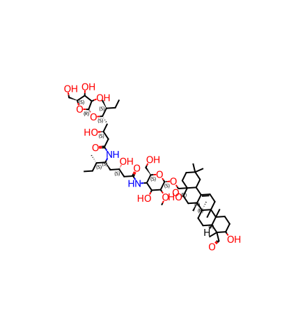 CC[C@H](C)[C@H](C[C@H](O)CC(=O)NC1C(O)C(OC)[C@H](OC(=O)C23CCC(C)(C)CC2C2=CCC4(C)C5(C)CCC(O)C(C)(C=O)[C@@H]5CC[C@@]4(C)[C@]2(C)C[C@H]3O)O[C@@H]1CO)NC(=O)C[C@@H](O)C[C@H](O[C@@H]1O[C@@H](CO)C(O)C1O)[C@@H](C)CC